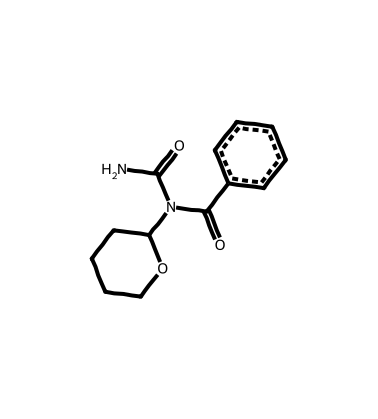 NC(=O)N(C(=O)c1ccccc1)C1CCCCO1